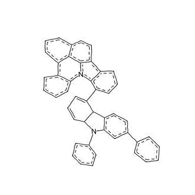 C1=CC2C(C(c3cccc4c5ccc6cccc7c8ccccc8n(c34)c5c67)=C1)c1ccc(-c3ccccc3)cc1N2c1ccccc1